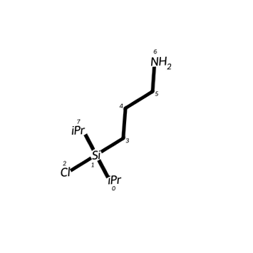 CC(C)[Si](Cl)(CCCN)C(C)C